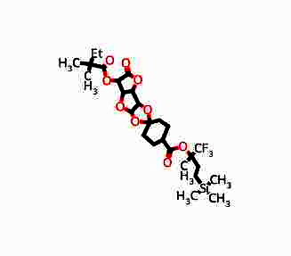 CCC(C)(C)C(=O)OC1C(=O)OC2C3OC4(CCC(C(=O)OC(C)(CC[Si](C)(C)C)C(F)(F)F)CC4)OC3OC12